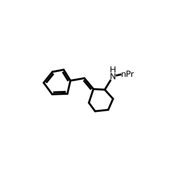 CCCNC1CCCCC1=Cc1ccccc1